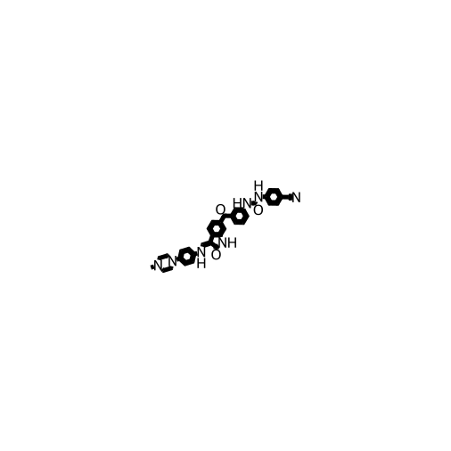 CN1CCN(c2ccc(NC=C3C(=O)Nc4cc(C(=O)c5cccc(NC(=O)Nc6ccc(C#N)cc6)c5)ccc43)cc2)CC1